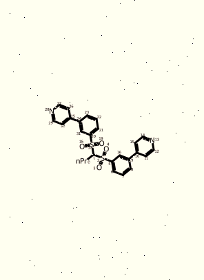 CCCC(S(=O)(=O)c1cccc(-c2ccncc2)c1)S(=O)(=O)c1cccc(-c2ccncc2)c1